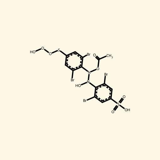 CC(=O)ON(c1c(Br)cc(SOOO)cc1Br)N(O)c1c(Br)cc(S(=O)(=O)O)cc1Br